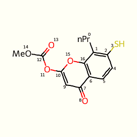 CCCc1c(S)ccc2c(=O)cc(OC(=O)OC)oc12